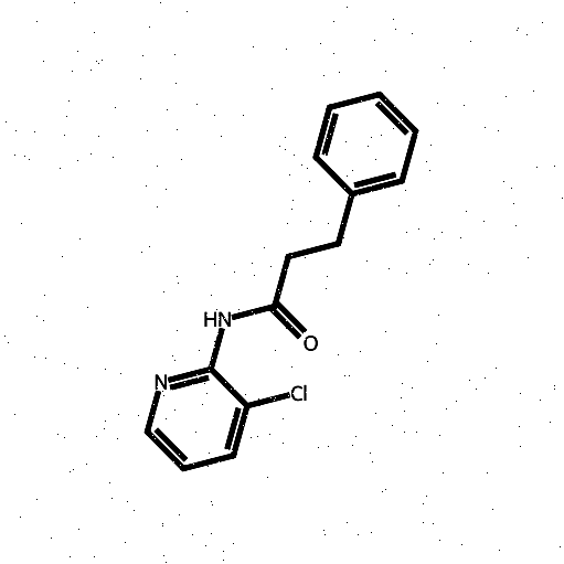 O=C(CCc1ccccc1)Nc1ncccc1Cl